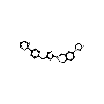 c1cnc(-c2ccc(Cc3cnc(N4CCc5ccc(N6CCOC6)cc5C4)s3)cc2)nc1